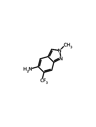 Cn1cc2cc(N)c(C(F)(F)F)cc2n1